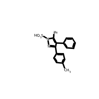 Cc1ccc(-c2nn(S(=O)(=O)O)c(C(C)C)c2-c2ccccc2)cc1